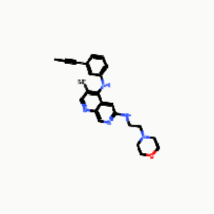 CC#Cc1cccc(Nc2c(C#N)cnc3cnc(NCCN4CCOCC4)cc23)c1